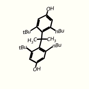 CCCCc1cc(O)cc(C(C)(C)C)c1C(C)(C)c1c(CCCC)cc(O)cc1C(C)(C)C